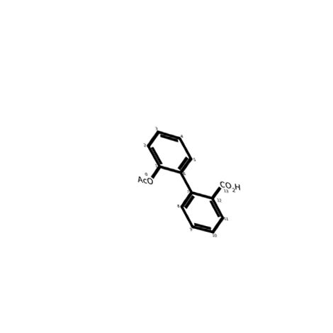 CC(=O)Oc1ccccc1-c1ccccc1C(=O)O